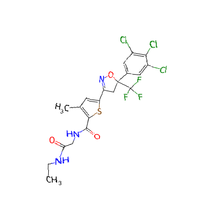 CCNC(=O)CNC(=O)c1sc(C2=NOC(c3cc(Cl)c(Cl)c(Cl)c3)(C(F)(F)F)C2)cc1C